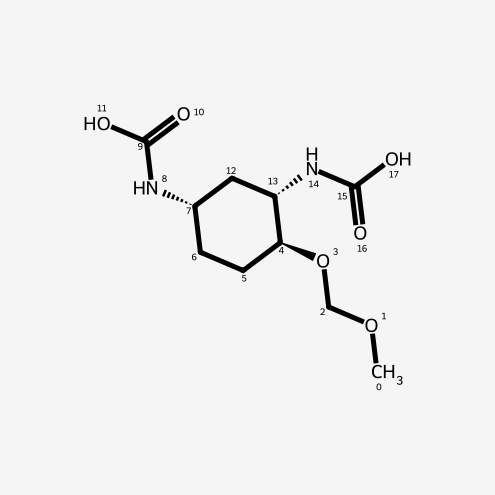 COCO[C@H]1CC[C@H](NC(=O)O)C[C@@H]1NC(=O)O